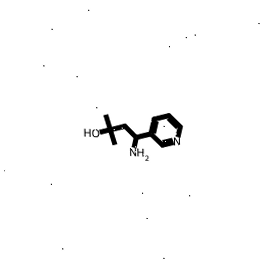 CC(C)(O)CC(N)c1cccnc1